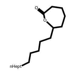 CCCCCCCCCCCCC1CCCCC(=O)O1